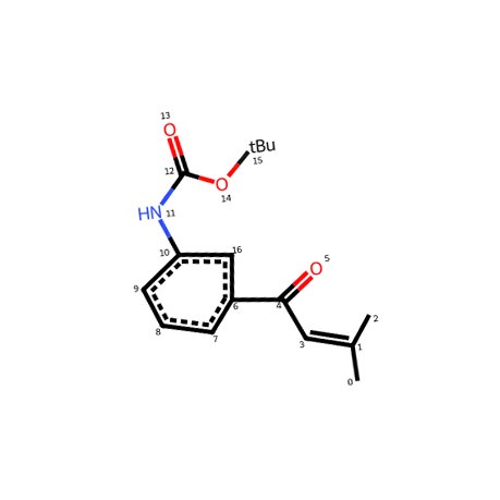 CC(C)=CC(=O)c1cccc(NC(=O)OC(C)(C)C)c1